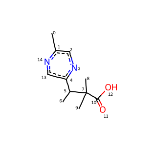 Cc1cnc(C(C)C(C)(C)C(=O)O)cn1